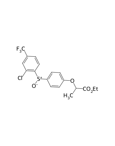 CCOC(=O)C(C)Oc1ccc([S+]([O-])c2ccc(C(F)(F)F)cc2Cl)cc1